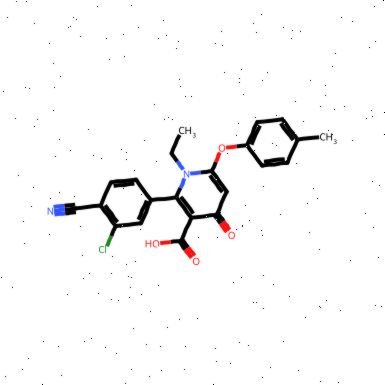 CCn1c(Oc2ccc(C)cc2)cc(=O)c(C(=O)O)c1-c1ccc(C#N)c(Cl)c1